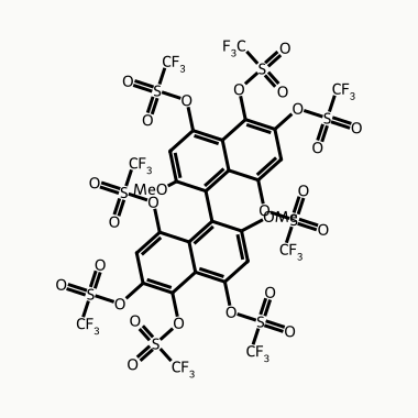 COc1cc(OS(=O)(=O)C(F)(F)F)c2c(OS(=O)(=O)C(F)(F)F)c(OS(=O)(=O)C(F)(F)F)cc(OS(=O)(=O)C(F)(F)F)c2c1-c1c(OC)cc(OS(=O)(=O)C(F)(F)F)c2c(OS(=O)(=O)C(F)(F)F)c(OS(=O)(=O)C(F)(F)F)cc(OS(=O)(=O)C(F)(F)F)c12